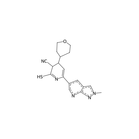 Cn1cc2cc(C3=CC(C4CCOCC4)C(C#N)C(S)=N3)cnc2n1